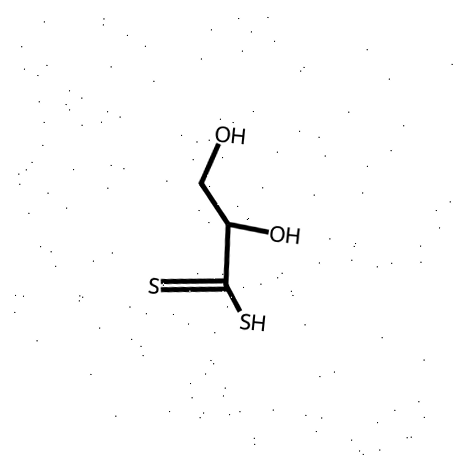 OCC(O)C(=S)S